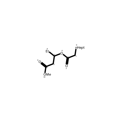 CCCCCCCCC(=O)OC(CC)CC(=O)OC